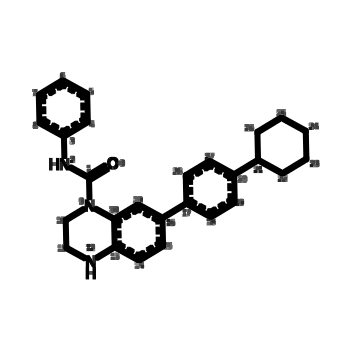 O=C(Nc1ccccc1)N1CCNc2ccc(-c3ccc(C4CCCCC4)cc3)cc21